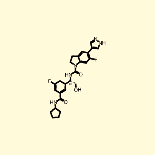 O=C(NC1CCCC1)C1=CC([C@@H](CO)NC(=O)N2CCc3cc(-c4cn[nH]c4)c(F)cc32)CC(F)=C1